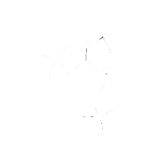 CC(C)(C)[Si](C)(C)OC[C@H]1OC(=O)[C@@H](F)C1O[Si](C)(C)C(C)(C)C